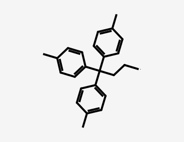 [CH2]CCC(c1ccc(C)cc1)(c1ccc(C)cc1)c1ccc(C)cc1